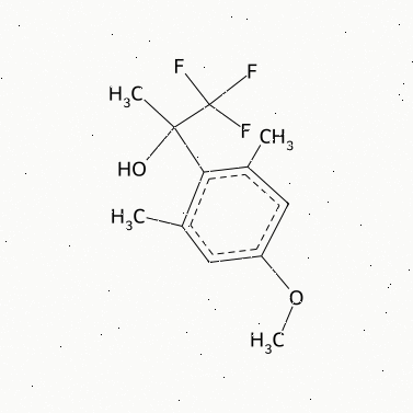 COc1cc(C)c(C(C)(O)C(F)(F)F)c(C)c1